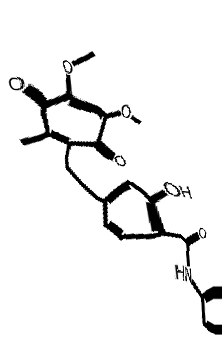 COC1=C(OC)C(=O)C(Cc2ccc(C(=O)Nc3ccncc3)c(O)c2)=C(C)C1=O